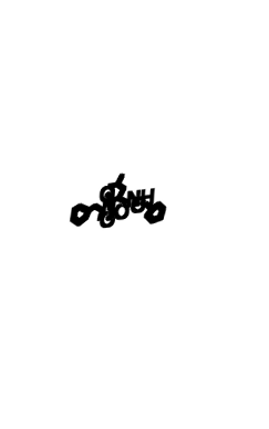 CC(C)CC(CNOCc1ccccc1)C(=O)N1C(=O)OCC1Cc1ccccc1